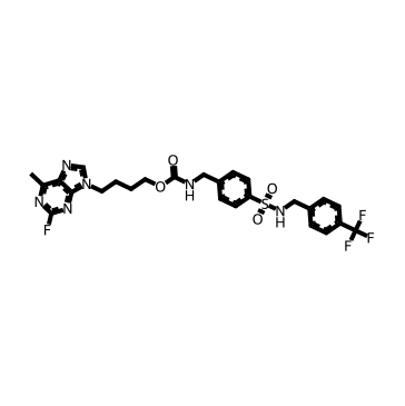 Cc1nc(F)nc2c1ncn2CCCCOC(=O)NCc1ccc(S(=O)(=O)NCc2ccc(C(F)(F)F)cc2)cc1